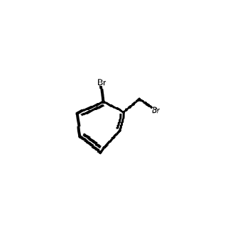 Br[CH]c1ccccc1Br